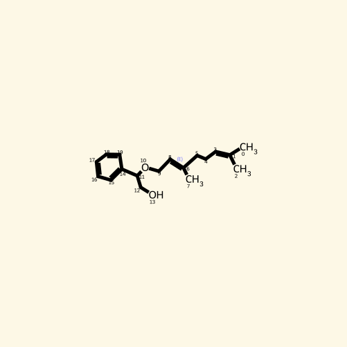 CC(C)=CCC/C(C)=C/COC(CO)c1ccccc1